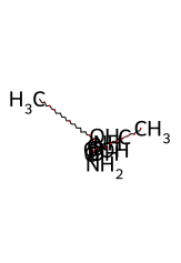 CCCCCCCCCCC/C=C/[C@@H](O)[C@H](COP(=O)(O)OCCN)NC(=O)C(O)CCCCCCCCCCCCCCCCCCCCCC